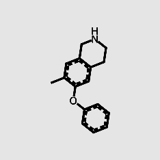 Cc1cc2c(cc1Oc1ccccc1)CCNC2